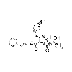 C[C@@H](O)[C@H]1C(=O)N2C(C(=O)OCC=Cc3ccccc3)=C(S[C@H]3CC[S@@+]([O-])C3)S[C@H]12